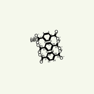 O=C([O-])c1ccc(C(=O)[O-])cc1.O=C([O-])c1ccc(C(=O)[O-])cc1.O=C([O-])c1ccc(C(=O)[O-])cc1.[Bi+3].[Bi+3]